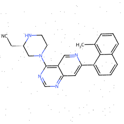 Cc1cccc2cccc(-c3cc4ncnc(N5CCN[C@@H](CC#N)C5)c4cn3)c12